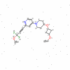 CC(C)(C)OC1CC(OC2CCN(c3ccnc(C#CC(F)(F)OC(C)(C)C)c3)CC2)C1